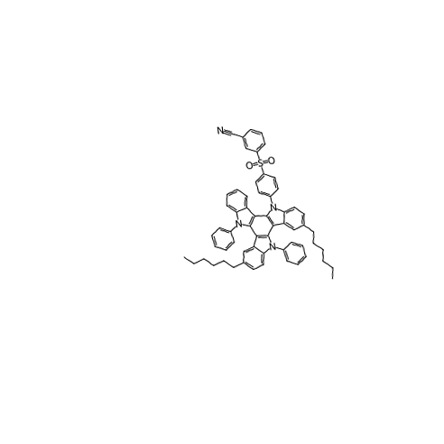 CCCCCCc1ccc2c(c1)c1c(c3c4ccccc4n(-c4ccccc4)c3c3c4cc(CCCCCC)ccc4n(-c4ccccc4)c31)n2-c1ccc(S(=O)(=O)c2cccc(C#N)c2)cc1